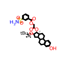 CC(C)(C)[Si](C)(C)OC1CC2C3CCc4cc(O)ccc4C3CC[C@]2(C)[C@H]1OC(=O)COC(=O)c1cccc(S(N)(=O)=O)c1